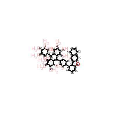 Bc1c(B)c(B)c(-c2c3c(B)c(B)c(B)c(B)c3c(-c3ccc(-c4cccc5oc6cc7ccccc7cc6c45)cc3)c3c(B)c(B)c(B)c(B)c23)c(B)c1B